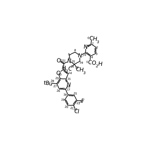 Cc1ccc(C(=O)O)c(N2CCN(C(=O)c3cc4nc(-c5ccc(Cl)c(F)c5)cc(C(C)(C)C)c4o3)C(C)(C)C2)n1